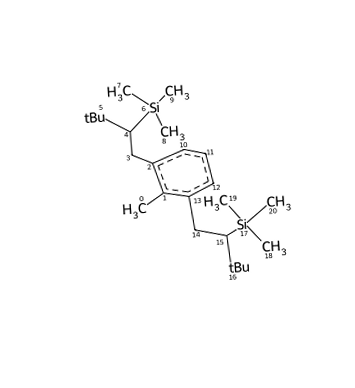 Cc1c(CC(C(C)(C)C)[Si](C)(C)C)cccc1CC(C(C)(C)C)[Si](C)(C)C